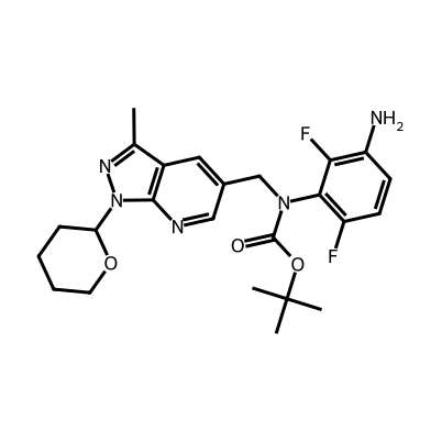 Cc1nn(C2CCCCO2)c2ncc(CN(C(=O)OC(C)(C)C)c3c(F)ccc(N)c3F)cc12